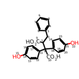 O=C(O)C(Cc1ccccc1)C(C(=O)O)(c1ccc(O)cc1)c1ccc(O)cc1